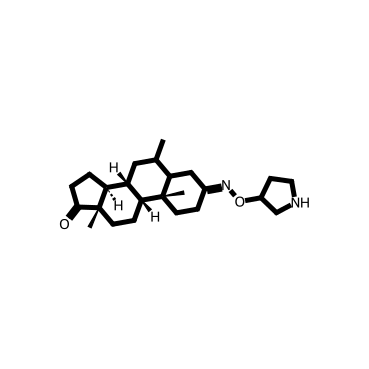 CC1C[C@@H]2[C@@H](CC[C@]3(C)C(=O)CC[C@@H]23)[C@@]2(C)CCC(=NOC3CCNC3)CC12